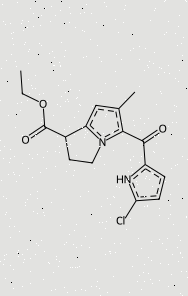 CCOC(=O)C1CCn2c1cc(C)c2C(=O)c1ccc(Cl)[nH]1